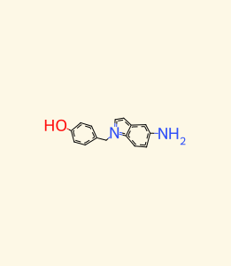 Nc1ccc2c(ccn2Cc2ccc(O)cc2)c1